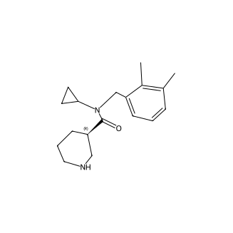 Cc1cccc(CN(C(=O)[C@@H]2CCCNC2)C2CC2)c1C